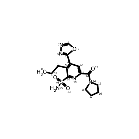 CCCc1c(-c2nnco2)cc(C(=O)N2CCCC2)nc1S(N)(=O)=O